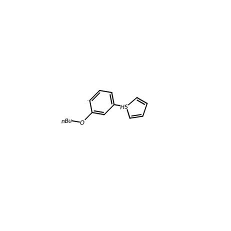 CCCCOc1[c]ccc([SH]2C=CC=C2)c1